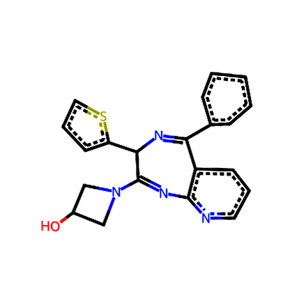 OC1CN(C2=Nc3ncccc3C(c3ccccc3)=NC2c2cccs2)C1